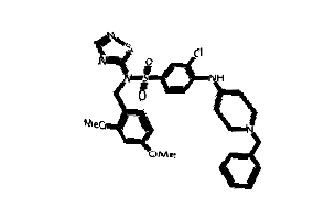 COc1ccc(CN(c2ncns2)S(=O)(=O)c2ccc(NC3CCN(Cc4ccccc4)CC3)c(Cl)c2)c(OC)c1